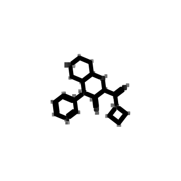 O=C(C1OC2CCNCC2N(c2cccnc2)C1=O)N1CCC1